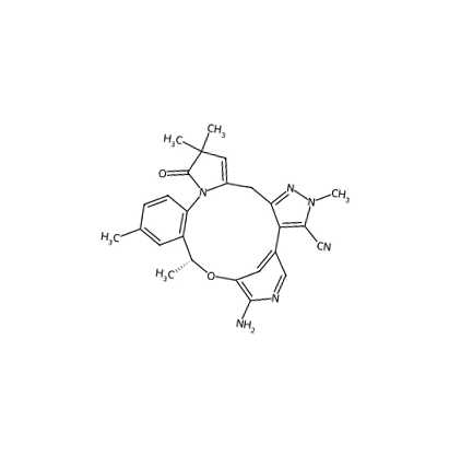 Cc1ccc2c(c1)[C@@H](C)Oc1cc(cnc1N)-c1c(nn(C)c1C#N)CC1=CC(C)(C)C(=O)N12